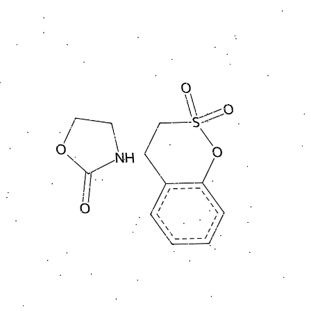 O=C1NCCO1.O=S1(=O)CCc2ccccc2O1